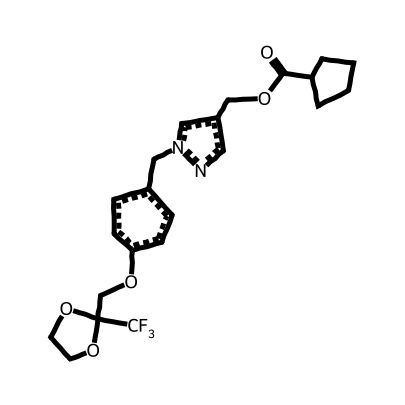 O=C(OCc1cnn(Cc2ccc(OCC3(C(F)(F)F)OCCO3)cc2)c1)C1CCCC1